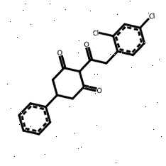 O=C(Cc1ccc(Cl)cc1Cl)C1C(=O)CC(c2ccccc2)CC1=O